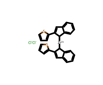 C1=C(c2cccs2)[CH]([Zr+2][CH]2C(c3cccs3)=Cc3ccccc32)c2ccccc21.[Cl-].[Cl-]